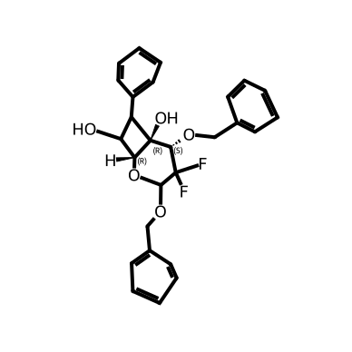 OC1C(c2ccccc2)[C@@]2(O)[C@@H]1OC(OCc1ccccc1)C(F)(F)[C@H]2OCc1ccccc1